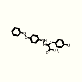 CC(=O)C(=NNc1ccc(OOc2ccccc2)cc1)Sc1ccc(Cl)cc1